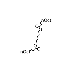 CCCCCCCCC=CC(=O)OCCCCCCOC(=O)C=CCCCCCCCC